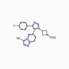 N#Cc1cnc2ccc(-c3c(-c4ccc(F)cc4)ncn3C3CN(C=O)C3)nn12